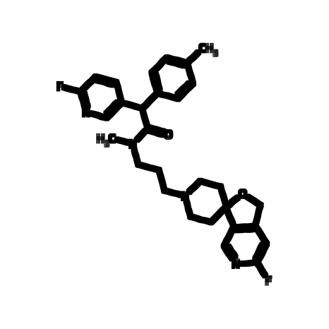 Cc1ccc(C(C(=O)N(C)CCCN2CCC3(CC2)OCc2cc(F)ncc23)c2ccc(F)nc2)cc1